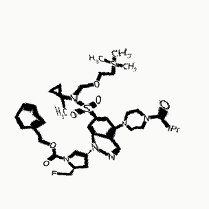 CC(C)C(=O)N1CCN(c2cc(S(=O)(=O)N(COCC[Si](C)(C)C)C3(C)CC3)cc3c2cnn3[C@@H]2C[C@@H](CF)N(C(=O)OCc3ccccc3)C2)CC1